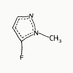 Cn1nccc1F